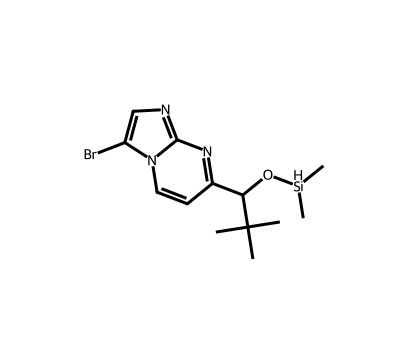 C[SiH](C)OC(c1ccn2c(Br)cnc2n1)C(C)(C)C